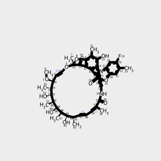 CO[C@H]1/C=C/O[C@@]2(C)Oc3c(C)c(O)c4c(=O)c(c5oc6cc(C)c(F)cc6nc-5c4c3C2=O)NC(=O)/C(C)=C\C=C\[C@H](C)[C@H](O)[C@@H](C)[C@@H](O)[C@@H](C)[C@H](O)[C@@H]1C